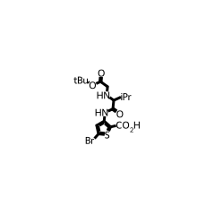 CC(C)C(NCC(=O)OC(C)(C)C)C(=O)Nc1cc(Br)sc1C(=O)O